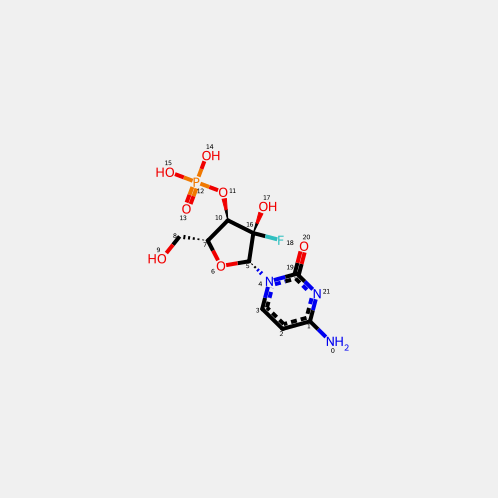 Nc1ccn([C@@H]2O[C@H](CO)[C@@H](OP(=O)(O)O)[C@]2(O)F)c(=O)n1